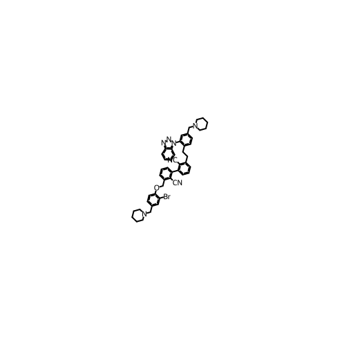 N#Cc1c(CCc2ccc(CN3CCCCC3)cc2-n2nnc3ccccc32)cccc1-c1cccc(COc2ccc(CN3CCCCC3)cc2Br)c1C#N